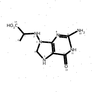 CC(NN1CNc2c1nc(N)[nH]c2=O)C(=O)O